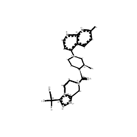 Cc1ccc2c(N3CC[C@H](C(=O)N4CCn5c(nnc5C(F)(F)F)C4)[C@H](C)C3)ccnc2n1